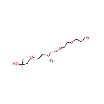 CC(C)(O)COCCOCCOCCOCCO.[Te]